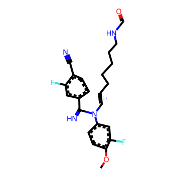 COc1ccc(N(/C=C/CCCCCNC=O)C(=N)c2ccc(C#N)c(F)c2)cc1F